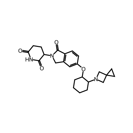 O=C1CCC(N2Cc3cc(OC4CCCCC4N4CC5(CC5)C4)ccc3C2=O)C(=O)N1